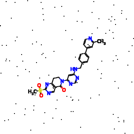 Cc1cc(-c2ccc(CNc3cc(N4CCc5nc(S(C)(=O)=O)ncc5C4=O)ncn3)cc2)ccn1